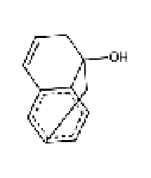 OC12CC=Cc3cc(ccc31)C2